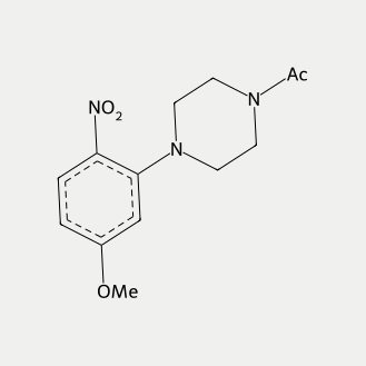 COc1ccc([N+](=O)[O-])c(N2CCN(C(C)=O)CC2)c1